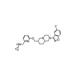 Fc1ccc2onc(N3CCN4CC(COc5cccc(CNC6CC6)n5)CCC4C3)c2c1